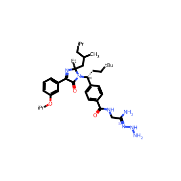 CCC1(CC(C)CC(C)C)N=C(c2cccc(OC(C)C)c2)C(=O)N1[C@H](CCC(C)(C)C)c1ccc(C(=O)NC/C(N)=N/NN)cc1